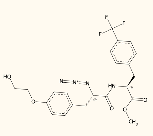 COC(=O)[C@H](Cc1ccc(C(F)(F)F)cc1)NC(=O)[C@H](Cc1ccc(OCCO)cc1)N=[N+]=[N-]